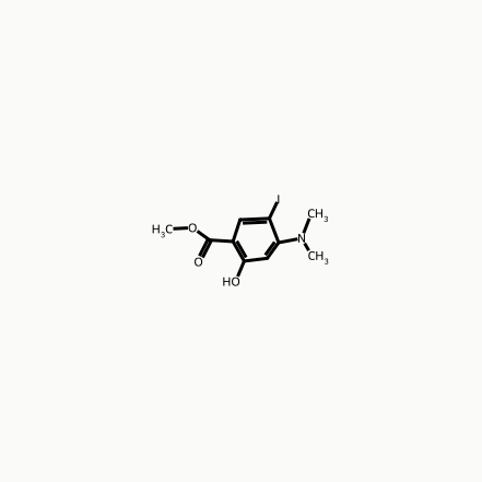 COC(=O)c1cc(I)c(N(C)C)cc1O